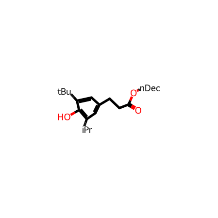 CCCCCCCCCCOC(=O)CCc1cc(C(C)C)c(O)c(C(C)(C)C)c1